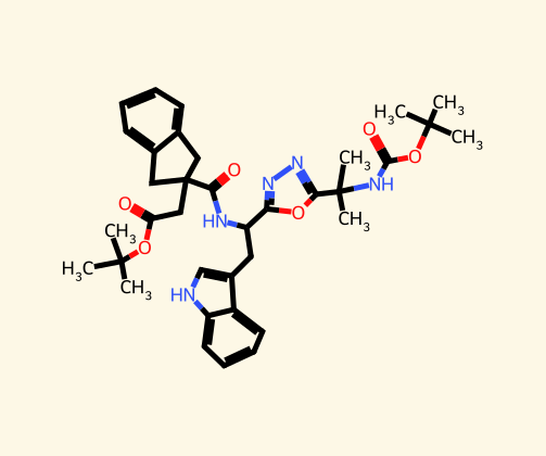 CC(C)(C)OC(=O)CC1(C(=O)NC(Cc2c[nH]c3ccccc23)c2nnc(C(C)(C)NC(=O)OC(C)(C)C)o2)Cc2ccccc2C1